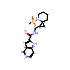 CS(=O)(=O)N1CCCCC12CC2CNC(=O)c1cc2cnccc2[nH]1